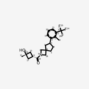 Cc1c(C2CCC3(C2)CN(C(=O)[C@H]2C[C@@](C)(O)C2)C3)cccc1C(F)(F)F